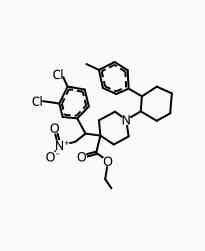 CCOC(=O)C1(C(C[N+](=O)[O-])c2ccc(Cl)c(Cl)c2)CCN(C2CCCCC2c2ccc(C)cc2)CC1